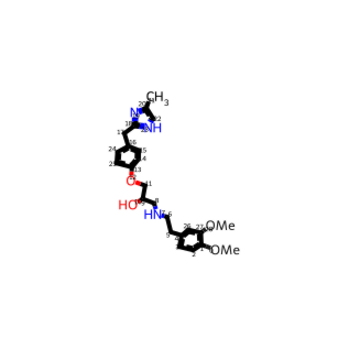 COc1ccc(CCNCC(O)COc2ccc(Cc3nc(C)c[nH]3)cc2)cc1OC